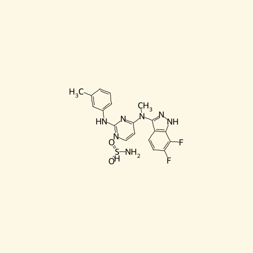 Cc1cccc(Nc2nccc(N(C)c3n[nH]c4c(F)c(F)ccc34)n2)c1.N[SH](=O)=O